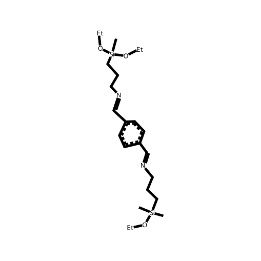 CCO[Si](C)(C)CCC/N=C/c1ccc(/C=N/CCC[Si](C)(OCC)OCC)cc1